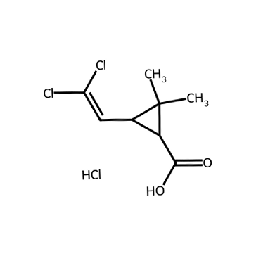 CC1(C)C(C=C(Cl)Cl)C1C(=O)O.Cl